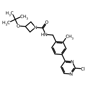 Cc1cc(-c2ccnc(Cl)n2)ccc1CNC(=O)N1CC(OC(C)(C)C)C1